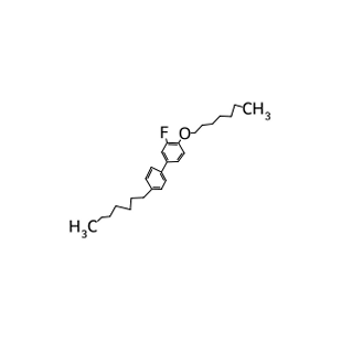 CCCCCCCOc1ccc(-c2ccc(CCCCCCC)cc2)cc1F